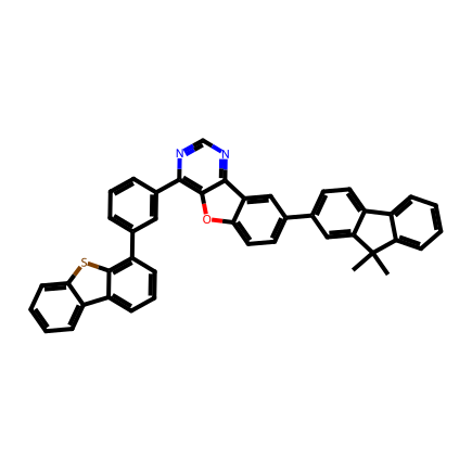 CC1(C)c2ccccc2-c2ccc(-c3ccc4oc5c(-c6cccc(-c7cccc8c7sc7ccccc78)c6)ncnc5c4c3)cc21